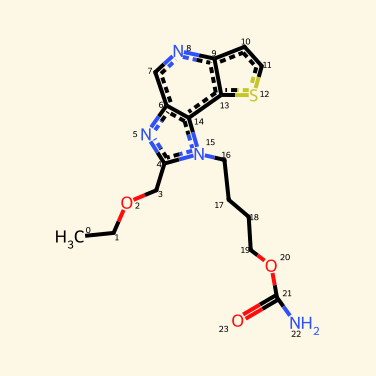 CCOCc1nc2cnc3ccsc3c2n1CCCCOC(N)=O